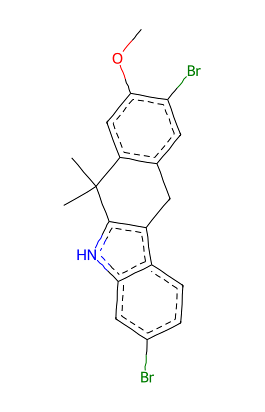 COc1cc2c(cc1Br)Cc1c([nH]c3cc(Br)ccc13)C2(C)C